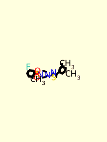 Cc1cc(C)cc(-c2csc(N3CCN(S(=O)(=O)c4cc(F)ccc4C)CC3)n2)c1